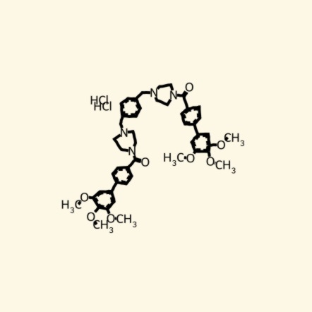 COc1cc(-c2ccc(C(=O)N3CCN(Cc4ccc(CN5CCN(C(=O)c6ccc(-c7cc(OC)c(OC)c(OC)c7)cc6)CC5)cc4)CC3)cc2)cc(OC)c1OC.Cl.Cl